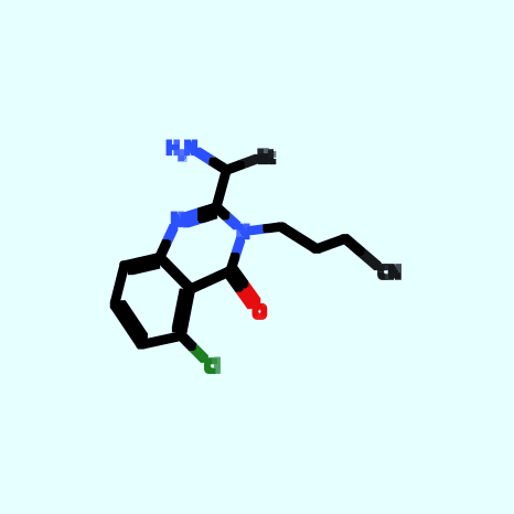 CCC(N)c1nc2cccc(Cl)c2c(=O)n1CCCC#N